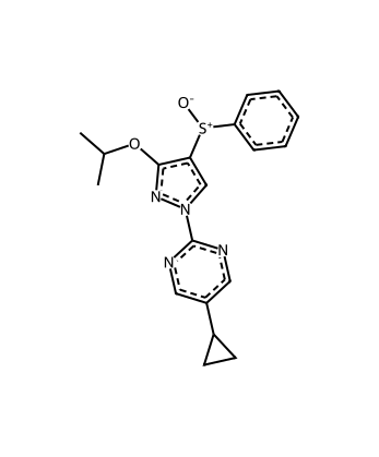 CC(C)Oc1nn(-c2ncc(C3CC3)cn2)cc1[S+]([O-])c1ccccc1